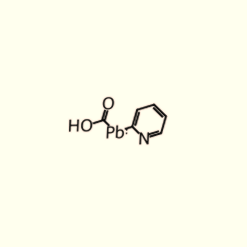 O=[C](O)[Pb][c]1ccccn1